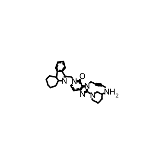 CC#CCn1c(N2CCCC(N)C2)nc2ccn(CC3=NC4CCCCCC4c4ccccc43)c(=O)c21